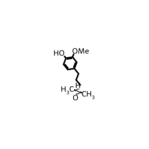 COc1cc(CCC[SH](C)(C)=O)ccc1O